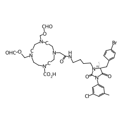 Cc1cc(Cl)cc(N2C(=O)N(CCCCNC(=O)CN3CCN(COC=O)CCN(COC=O)CCN(C(=O)O)CC3)[C@@](C)(Cc3ccc(Br)cc3)C2=O)c1